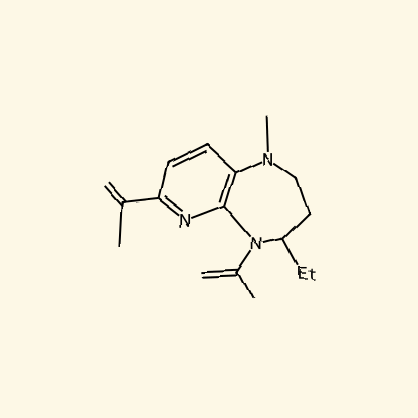 C=C(C)c1ccc2c(n1)N(C(=C)C)C(CC)CCN2C